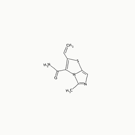 C=Cc1sc2cnc(C)n2c1C(N)=O